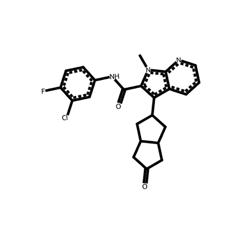 Cn1c(C(=O)Nc2ccc(F)c(Cl)c2)c(C2CC3CC(=O)CC3C2)c2cccnc21